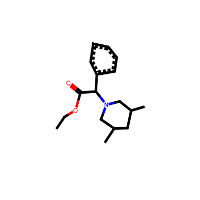 CCOC(=O)C(c1ccccc1)N1CC(C)CC(C)C1